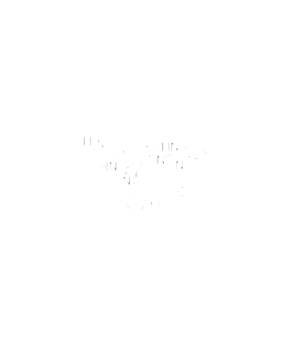 C=CC(=O)Nc1cc2cc(n1)-c1ccccc1OCCCCCN1/C(=N/C2=O)Nc2ccccc21